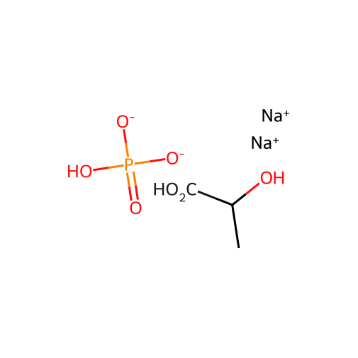 CC(O)C(=O)O.O=P([O-])([O-])O.[Na+].[Na+]